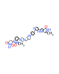 C[C@@H]1Cc2[nH]c(-c3ccnc(-c4ccc(N5CCC(CN6CCN(c7cccc8c7n(C)c(=O)n8C7CCC(=O)NC7=O)CC6)CC5)cc4)c3)cc2C(=O)N1